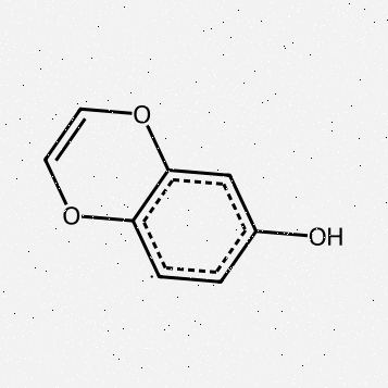 Oc1c[c]c2c(c1)OC=CO2